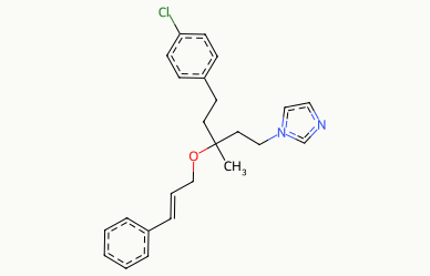 CC(CCc1ccc(Cl)cc1)(CCn1ccnc1)OCC=Cc1ccccc1